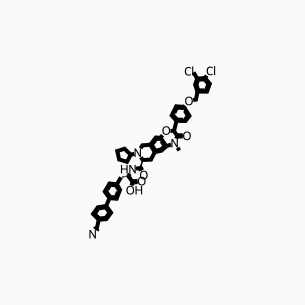 CN1C(=O)C(c2ccc(OCc3ccc(Cl)c(Cl)c3)cc2)Oc2cc3c(cc21)C[C@@H](C(=O)N[C@@H](Cc1ccc(-c2ccc(C#N)cc2)cc1)C(=O)O)N(C1CCCC1)C3